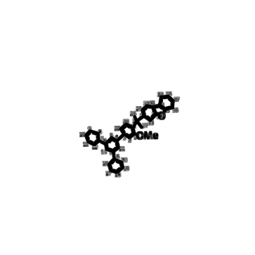 COc1cc(-c2cc(-c3ccccc3)cc(-c3ccccc3)c2)ccc1C(C)(C)c1ccc2c(c1)oc1ccccc12